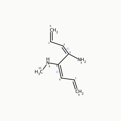 C=C/C=C(N)\C(=C/C=C)NC